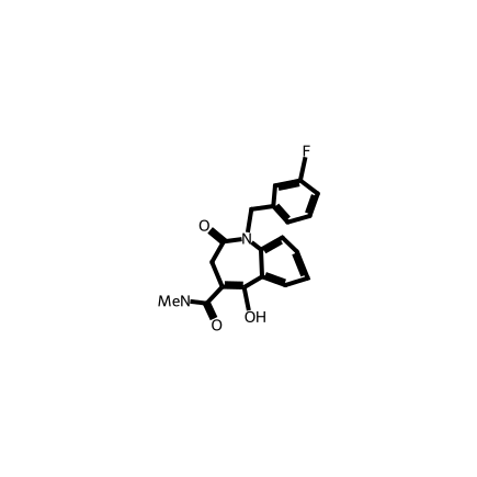 CNC(=O)C1=C(O)c2ccccc2N(Cc2cccc(F)c2)C(=O)C1